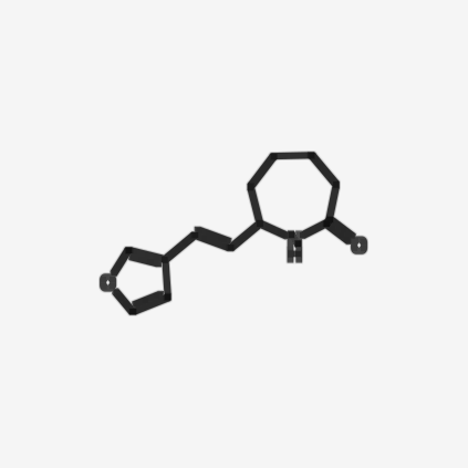 O=C1CCCCC(/C=C/c2ccoc2)N1